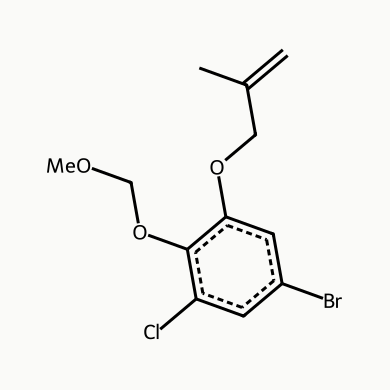 C=C(C)COc1cc(Br)cc(Cl)c1OCOC